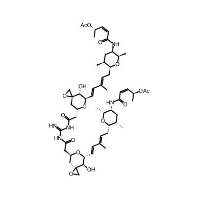 CC(=O)O[C@@H](C)/C=C\C(=O)N[C@@H]1C[C@H](C)[C@H](C/C=C(C)/C=C/[C@H]2O[C@H](CC(=O)NC(=N)NC(=O)C[C@@H]3C[C@@]4(CO4)[C@H](O)[C@@H](/C=C/C(C)=C/C[C@@H]4O[C@H](C)[C@H](NC(=O)/C=C\[C@H](C)OC(C)=O)C[C@@H]4C)O3)C[C@@]3(CO3)[C@@H]2O)O[C@@H]1C